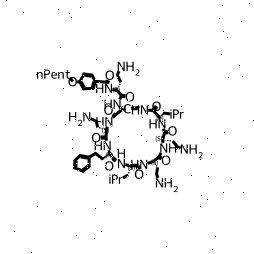 CCCCCOc1ccc(C(=O)N[C@H](CCN)C(=O)N[C@H]2CCNC(=O)[C@H](CC(C)C)NC(=O)[C@H](CCN)NC(=O)[C@H](CCN)NC(=O)[C@H](CC(C)C)NC(=O)[C@@H](CCc3ccccc3)NC(=O)[C@H](CCN)NC2=O)cc1